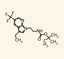 CCc1cn(CCNC(=O)OC(C)(C)C)c2ncc(C(F)(F)F)cc12